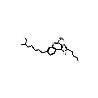 CCCCc1nc2c(N)nc3cc(CCCCCC(C)CC)ccc3c2[nH]1